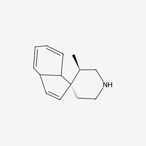 C[C@H]1CNCC[C@@]12C=CC1C=CC=CC12